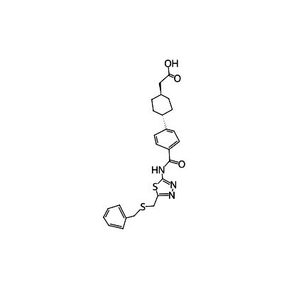 O=C(O)C[C@H]1CC[C@H](c2ccc(C(=O)Nc3nnc(CSCc4ccccc4)s3)cc2)CC1